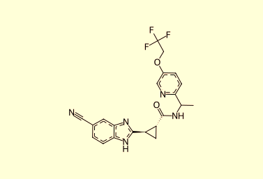 CC(NC(=O)[C@@H]1C[C@H]1c1nc2cc(C#N)ccc2[nH]1)c1ccc(OCC(F)(F)F)cn1